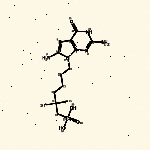 Nc1nc2c(nc(N)n2CCCCC(F)(F)CP(=O)(O)O)c(=O)[nH]1